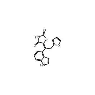 O=C1NC(=O)C(=C(Cc2cccs2)c2cccc3[nH]ccc23)S1